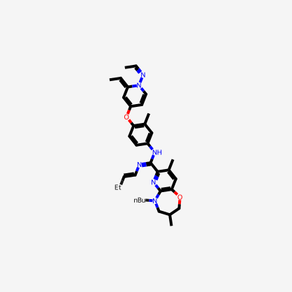 C/C=N\N1C=CC(Oc2ccc(N/C(=N/C=C/CC)c3nc4c(cc3C)OCC(C)CN4CCCC)cc2C)=C/C1=C\C